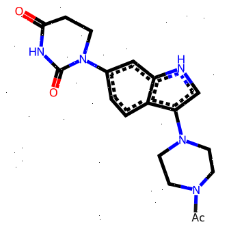 CC(=O)N1CCN(c2c[nH]c3cc(N4CCC(=O)NC4=O)ccc23)CC1